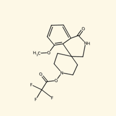 COc1cccc2c1C1(CCN(OC(=O)C(F)(F)F)CC1)CNC2=O